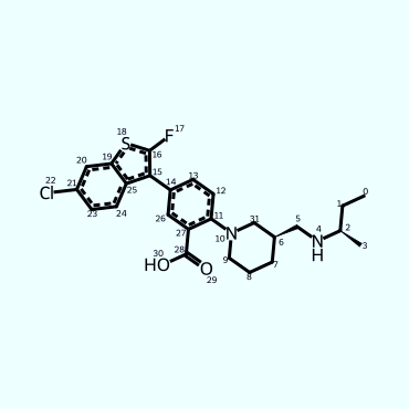 CC[C@@H](C)NC[C@H]1CCCN(c2ccc(-c3c(F)sc4cc(Cl)ccc34)cc2C(=O)O)C1